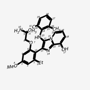 CCc1cc(OC)cc(OCC(N)=O)c1-c1nc2c(O)cccn2c1Nc1c(C)cccc1C